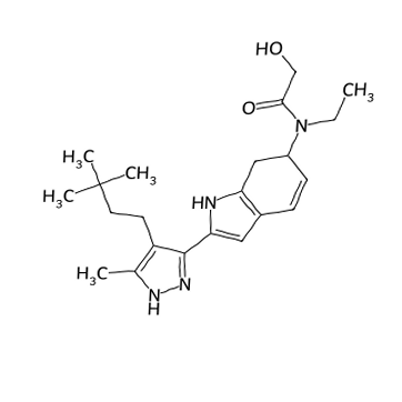 CCN(C(=O)CO)C1C=Cc2cc(-c3n[nH]c(C)c3CCC(C)(C)C)[nH]c2C1